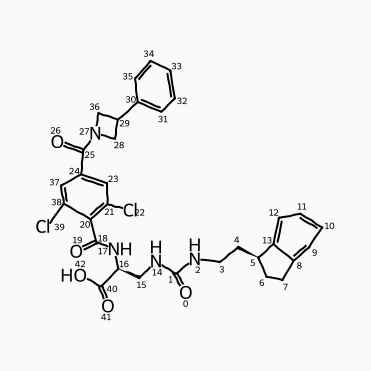 O=C(NCC[C@@H]1CCc2ccccc21)NC[C@H](NC(=O)c1c(Cl)cc(C(=O)N2CC(c3ccccc3)C2)cc1Cl)C(=O)O